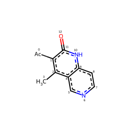 CC(=O)c1c(C)c2cnccc2[nH]c1=O